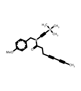 CC#CC#CCCC(=O)N(C#C[Si](C)(C)C)Cc1ccc(OC)cc1